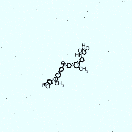 CC1CCN(C2CCN(C(=O)c3ccc(N4CCC5(CC4)C[C@H](C)N(c4ccc(C#N)c(Cl)c4)C5)cc3)CC2)CCN(c2cccc(N[C@H]3CCC(=O)NC3=O)c2)C1